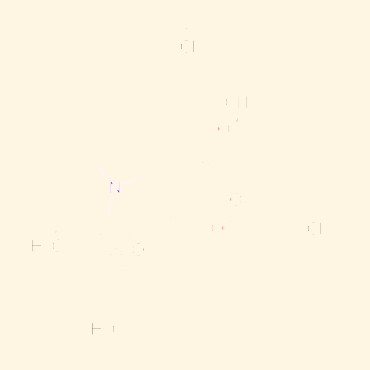 CCOC(=O)C1(C(=O)OCC)C(C(C)C)CCN1C(C)=O